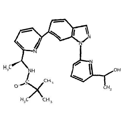 CC(O)c1cccc(-n2ncc3ccc(-c4cccc([C@H](C)N[S+]([O-])C(C)(C)C)n4)cc32)n1